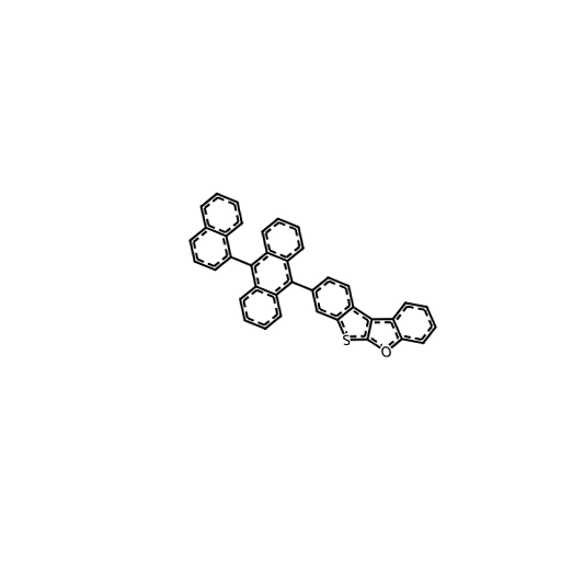 c1ccc2c(-c3c4ccccc4c(-c4ccc5c(c4)sc4oc6ccccc6c45)c4ccccc34)cccc2c1